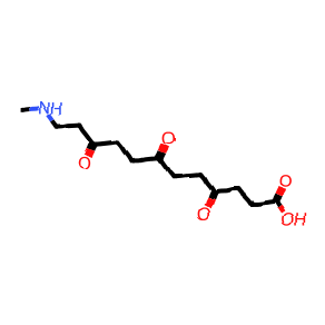 CNCCC(=O)CCC(=O)CCC(=O)CCC(=O)O